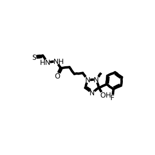 CN1N(CCCC(=O)NNC=S)C=NC1(O)c1ccccc1F